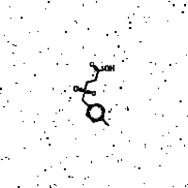 Cc1ccc(CS(=O)(=O)CCC(=O)O)cc1